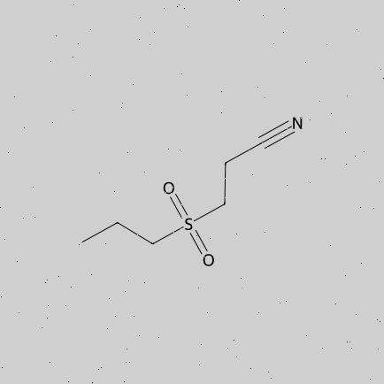 CCCS(=O)(=O)CCC#N